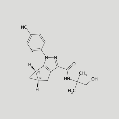 CC(C)(CO)NC(=O)c1nn(-c2ccc(C#N)cn2)c2c1C[C@@H]1C[C@H]21